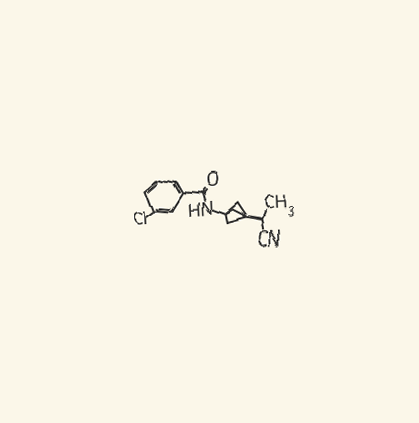 CC(C#N)C12CC(NC(=O)c3cccc(Cl)c3)(C1)C2